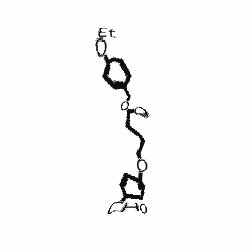 CCOc1ccc(COC(=O)CCCOc2ccc(C=O)cc2)cc1